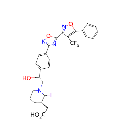 O=C(O)C[C@H]1CCCN(CC(O)c2ccc(-c3noc(-c4noc(-c5ccccc5)c4C(F)(F)F)n3)cc2)C1I